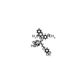 COc1ccc(OCCN(C)CCCOc2ccc3c(c2)OCO3)c(C2Sc3ccccc3N(C)C2=O)c1.O=C(O)C(=O)O